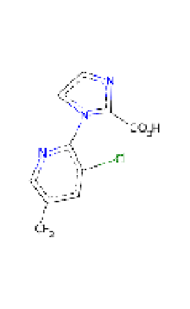 O=C(O)c1nccn1-c1ncc(C(F)(F)F)cc1Cl